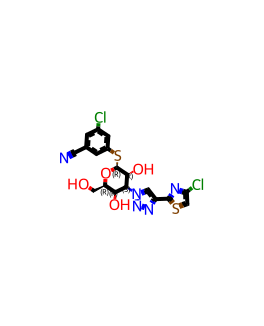 N#Cc1cc(Cl)cc(S[C@H]2O[C@H](CO)[C@H](O)[C@H](n3cc(-c4nc(Cl)cs4)nn3)[C@H]2O)c1